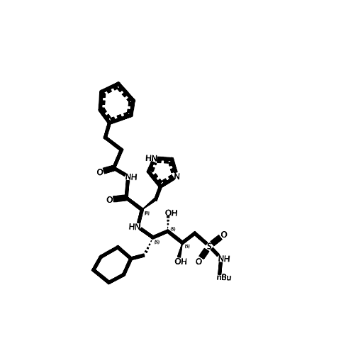 CCCCNS(=O)(=O)C[C@@H](O)[C@@H](O)[C@H](CC1CCCCC1)N[C@H](Cc1c[nH]cn1)C(=O)NC(=O)CCc1ccccc1